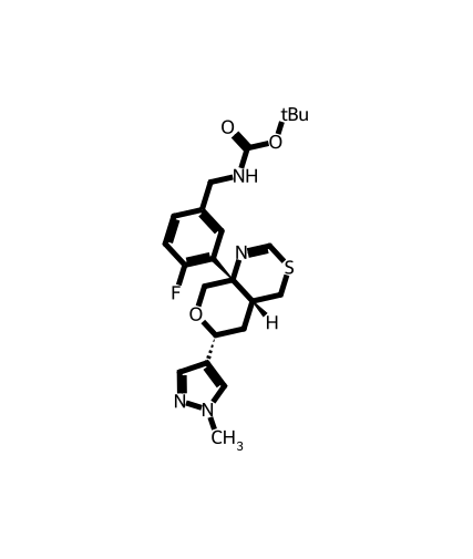 Cn1cc([C@H]2C[C@H]3CSC=N[C@@]3(c3cc(CNC(=O)OC(C)(C)C)ccc3F)CO2)cn1